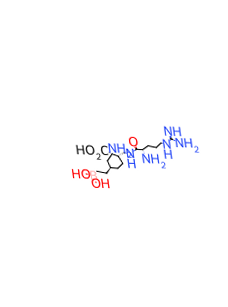 N=C(N)NCCC[C@H](N)C(=O)NC[C@@H]1CC[C@@H](CCB(O)O)C[C@]1(N)C(=O)O